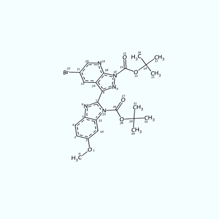 COc1ccc2nc(-c3nn(C(=O)OC(C)(C)C)c4ncc(Br)cc34)n(C(=O)OC(C)(C)C)c2c1